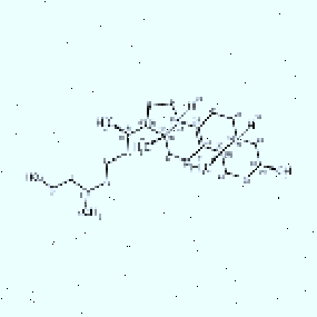 CC(CCO)CCC[C@@H](C)[C@H]1CC[C@H]2C3=C(CC[C@]12C)[C@@]1(C)CC[C@H](O)C[C@@H]1CC3